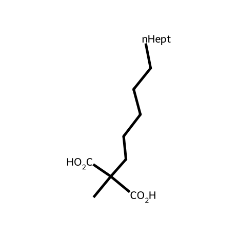 CCCCCCCCCCCCC(C)(C(=O)O)C(=O)O